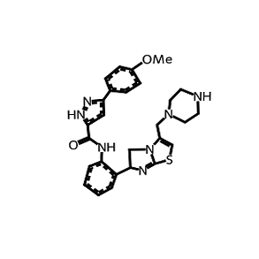 COc1ccc(-c2cc(C(=O)Nc3ccccc3C3CN4C(CN5CCNCC5)=CSC4=N3)[nH]n2)cc1